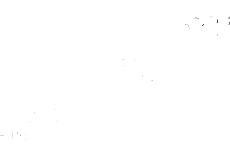 CCCCOCCOCCOC(=O)CCCC(=O)O